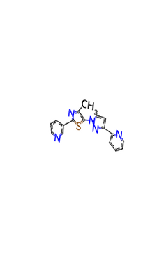 Cc1nc(-c2cccnc2)sc1-n1ccc(-c2ccccn2)n1